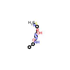 Cc1nc2cc(OCC(O)CN3CCN(CC(=O)Nc4ccc(-c5ccccc5)cc4)CC3)ccc2s1